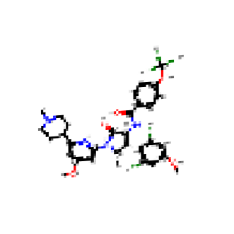 COc1cc(C2CCN(C)CC2)nc(N2C(=O)C(NC(=O)c3ccc(OC(F)(F)F)cc3)[C@H](c3c(F)cc(OC)cc3F)[C@@H]2C)c1